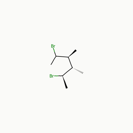 CC(Br)[C@@H](C)[C@H](C)[C@@H](C)Br